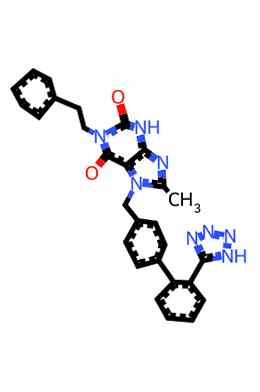 Cc1nc2[nH]c(=O)n(CCc3ccccc3)c(=O)c2n1Cc1ccc(-c2ccccc2-c2nnn[nH]2)cc1